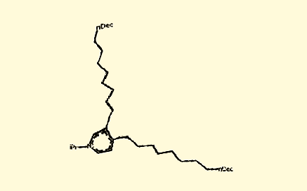 CCCCCCCCCCCCCCCCCCc1cc[n+](C(C)C)cc1CCCCCCCCCCCCCCCCCC